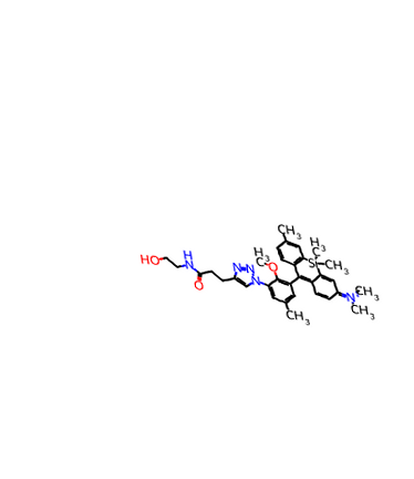 COc1c(C2=C3C=CC(=[N+](C)C)C=C3[Si](C)(C)c3cc(C)ccc32)cc(C)cc1-n1cc(CCC(=O)NCCO)nn1